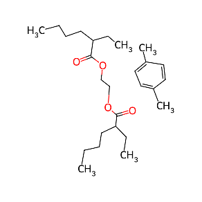 CCCCC(CC)C(=O)OCCOC(=O)C(CC)CCCC.Cc1ccc(C)cc1